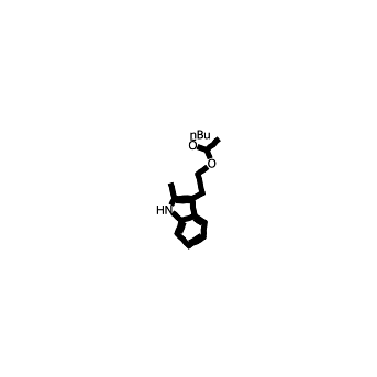 CCCCOC(C)OCCc1c(C)[nH]c2ccccc12